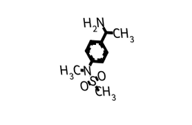 CC(N)c1ccc(N(C)S(C)(=O)=O)cc1